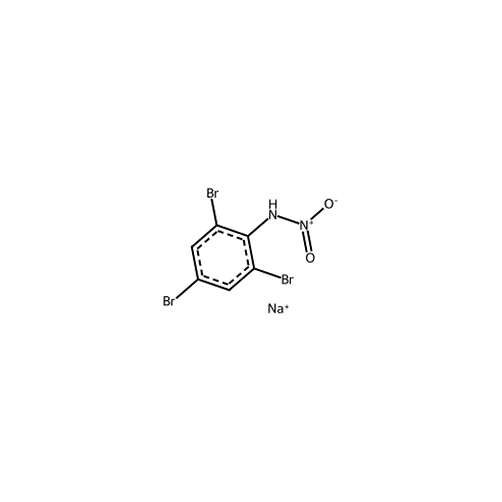 O=[N+]([O-])Nc1c(Br)cc(Br)cc1Br.[Na+]